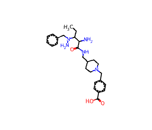 CCC(C(N)C(=O)NCC1CCN(Cc2ccc(C(=O)O)cc2)CC1)N(N)Cc1ccccc1